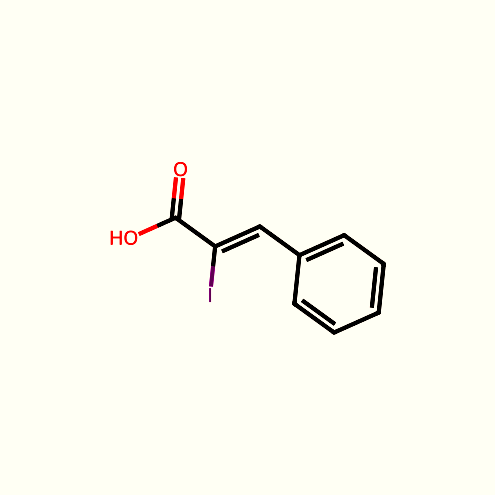 O=C(O)/C(I)=C/c1ccccc1